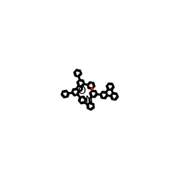 c1ccc(-c2cc(-c3ccccc3)c3oc4c(-c5ccc6c7ccccc7n(-c7cccc(-c8ccc9c%10ccccc%10c%10ccccc%10c9c8)c7)c6c5)cc(-c5ccccc5)cc4c3c2)cc1